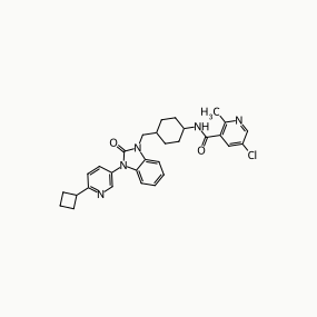 Cc1ncc(Cl)cc1C(=O)NC1CCC(Cn2c(=O)n(-c3ccc(C4CCC4)nc3)c3ccccc32)CC1